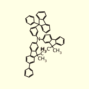 CC1(C)c2ccccc2-c2ccc(N(c3cccc(C4(c5ccccc5)c5ccccc5-c5ccccc54)c3)c3ccc4c(c3)C(C)(C)c3cc(-c5ccccc5)ccc3-4)cc21